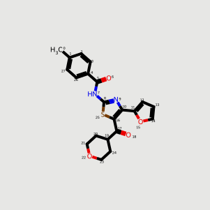 Cc1ccc(C(=O)Nc2nc(-c3ccco3)c(C(=O)C3CCOCC3)s2)cc1